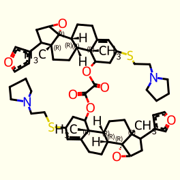 C[C@@]12C(=CC(SCCN3CCCC3)CC1OC(=O)C(=O)OC1CC(SCCN3CCCC3)C=C3CC[C@@H]4[C@@H](CC[C@]5(C)C(c6ccoc6)CC6O[C@]645)[C@]31C)CC[C@@H]1[C@H]2CC[C@]2(C)C(c3ccoc3)CC3O[C@]312